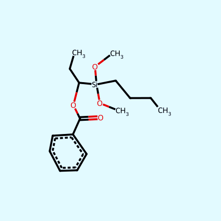 CCCC[Si](OC)(OC)C(CC)OC(=O)c1ccccc1